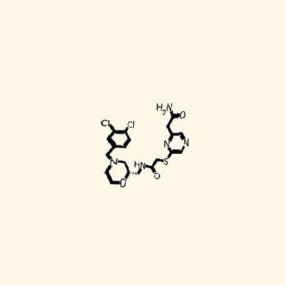 NC(=O)Cc1cncc(SCC(=O)NC[C@H]2CN(Cc3ccc(Cl)c(Cl)c3)CCO2)n1